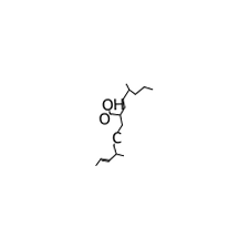 CC=CC(C)CCCCC(CCC(C)CCC)C(=O)O